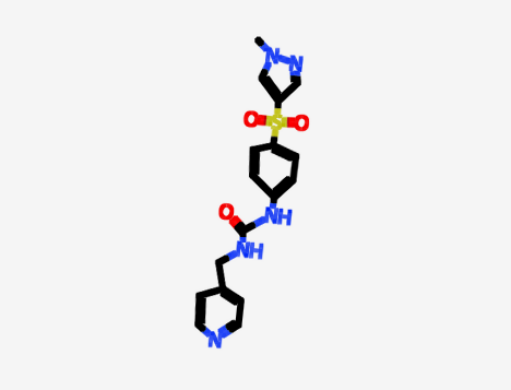 Cn1cc(S(=O)(=O)c2ccc(NC(=O)NCc3ccncc3)cc2)cn1